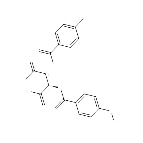 C=C(O[C@@H](C(=C)O)[C@@H](OC(=C)c1ccc(C)cc1)C(C)=O)c1ccc(NO)cc1